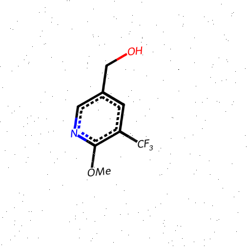 COc1ncc(CO)cc1C(F)(F)F